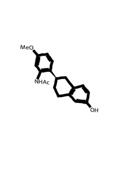 COc1ccc([C@@H]2CCc3cc(O)ccc3C2)c(NC(C)=O)c1